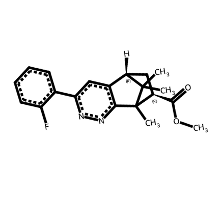 COC(=O)[C@@H]1C[C@H]2c3cc(-c4ccccc4F)nnc3C1(C)C2(C)C